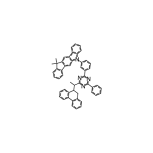 CC(c1nc(-c2ccccc2)nc(-c2cccc(-n3c4ccccc4c4cc5c(cc43)-c3ccccc3C5(C)C)c2)n1)C1Cc2ccccc2-c2ccccc21